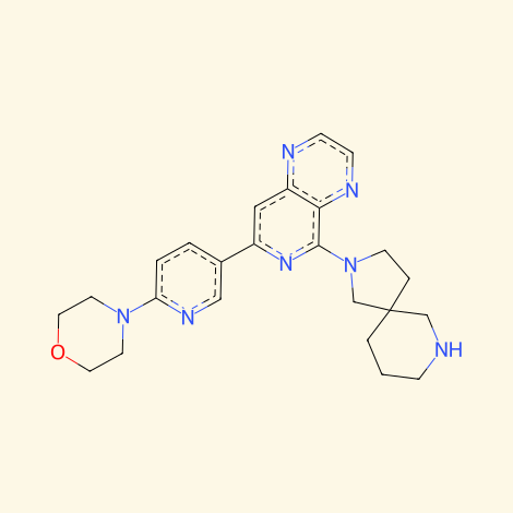 c1cnc2c(N3CCC4(CCCNC4)C3)nc(-c3ccc(N4CCOCC4)nc3)cc2n1